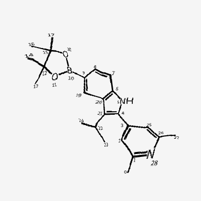 Cc1cc(-c2[nH]c3ccc(B4OC(C)(C)C(C)(C)O4)cc3c2C(C)C)cc(C)n1